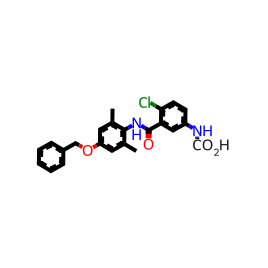 Cc1cc(OCc2ccccc2)cc(C)c1NC(=O)c1cc(NC(=O)O)ccc1Cl